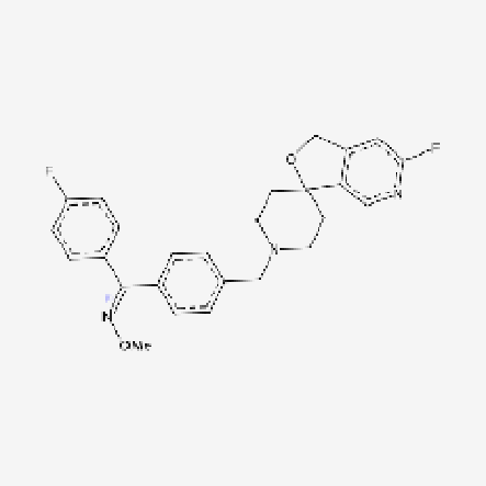 CO/N=C(/c1ccc(F)cc1)c1ccc(CN2CCC3(CC2)OCc2cc(F)ncc23)cc1